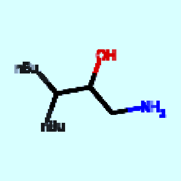 CCCCC(CCCC)C(O)CN